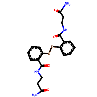 NC(=O)CCNC(=O)c1ccccc1SSc1ccccc1C(=O)NCCC(N)=O